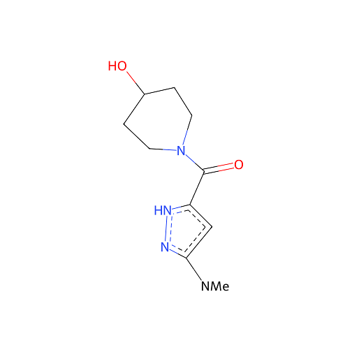 CNc1cc(C(=O)N2CCC(O)CC2)[nH]n1